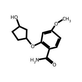 COc1ccc(C(N)=O)c(OC2CCC(O)C2)c1